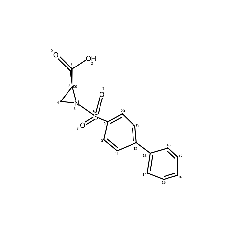 O=C(O)[C@@H]1CN1S(=O)(=O)c1ccc(-c2ccccc2)cc1